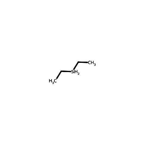 CC[SiH2]CC